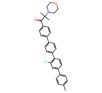 Cc1ccc(-c2ccc(-c3ccc(-c4ccc(C(=O)C(C)(C)N5CCOCC5)cc4)cc3)c(F)c2)cc1